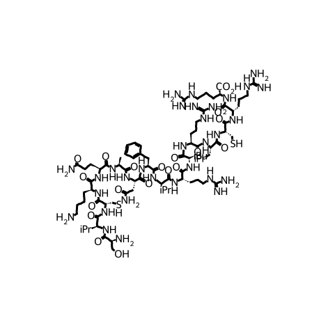 CC[C@H](C)[C@H](NC(=O)[C@H](CCCNC(=N)N)NC(=O)[C@@H](NC(=O)[C@H](Cc1ccccc1)NC(=O)[C@H](CC(N)=O)NC(=O)[C@H](C)NC(=O)[C@H](CCC(N)=O)NC(=O)[C@H](CCCCN)NC(=O)[C@H](CS)NC(=O)[C@@H](NC(=O)[C@@H](N)CO)C(C)C)C(C)C)C(=O)N[C@@H](CCCNC(=N)N)C(=O)N[C@@H](CC(C)C)C(=O)N[C@@H](CS)C(=O)N[C@@H](CCCNC(=N)N)C(=O)N[C@@H](CCCNC(=N)N)C(=O)O